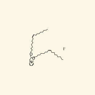 CCCCCCCC/C=C\CCCCCCCCOCC(C[n+]1ccccc1)OCCCCCCCC/C=C\CCCCCCCC.[I-]